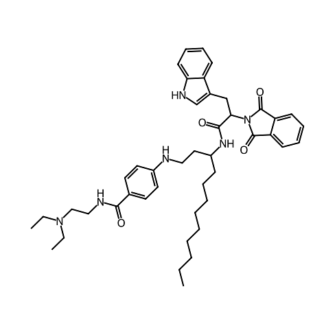 CCCCCCCCCC(CCNc1ccc(C(=O)NCCN(CC)CC)cc1)NC(=O)C(Cc1c[nH]c2ccccc12)N1C(=O)c2ccccc2C1=O